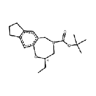 CC[C@@H]1CN(C(=O)OC(C)(C)C)Cc2cc3c(cc2O1)CCC3